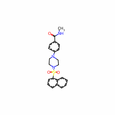 CNC(=O)c1ccc(N2CCN(S(=O)(=O)c3cccc4ccccc34)CC2)cc1